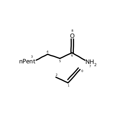 C=CC.CCCCCCCC(N)=O